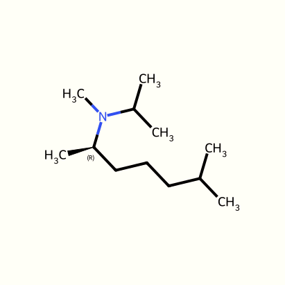 CC(C)CCC[C@@H](C)N(C)C(C)C